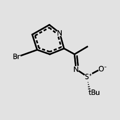 C/C(=N\[S@+]([O-])C(C)(C)C)c1cc(Br)ccn1